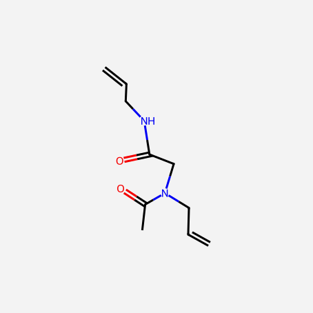 C=CCNC(=O)CN(CC=C)C(C)=O